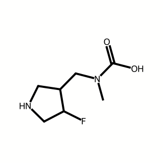 CN(CC1CNCC1F)C(=O)O